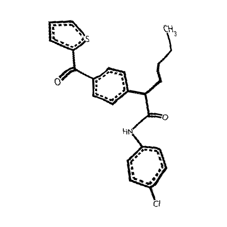 CCCCC(C(=O)Nc1ccc(Cl)cc1)c1ccc(C(=O)c2cccs2)cc1